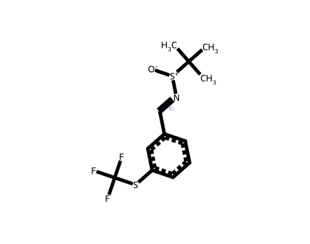 CC(C)(C)[S+]([O-])/N=C/c1cccc(SC(F)(F)F)c1